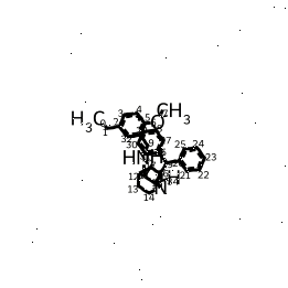 CCc1ccc(OC)c(CN[C@H]2C3CCN(CC3)[C@H]2C(c2ccccc2)c2ccccc2)c1